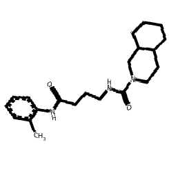 Cc1ccccc1NC(=O)CCCNC(=O)N1CCC2CCCCC2C1